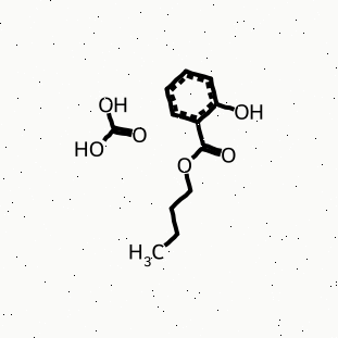 CCCCOC(=O)c1ccccc1O.O=C(O)O